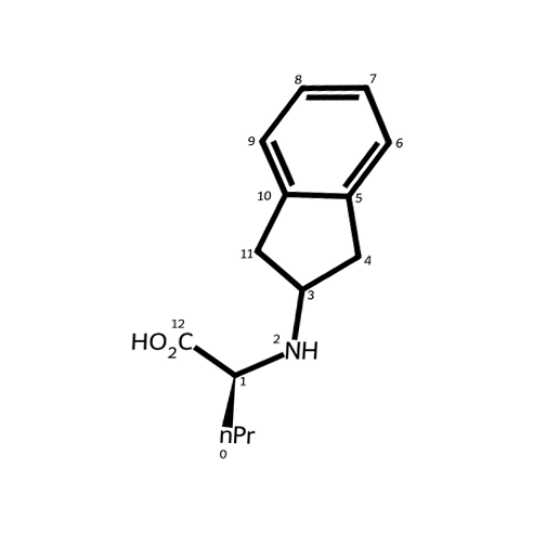 CCC[C@H](NC1Cc2ccccc2C1)C(=O)O